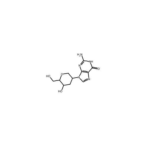 Nc1nc2c(ncn2C2COC(CO)C(O)C2)c(=O)[nH]1